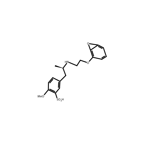 COc1ccc(C[C@@H](C)NCCOc2cccc3c2O3)cc1S(=O)(=O)O